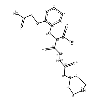 O=C(O)COc1ccccc1OC(C(=O)O)C(=O)NNC(=O)CC1CCNCC1